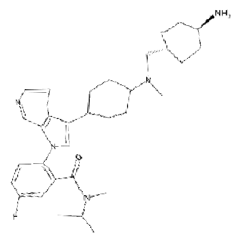 CC(C)N(C)C(=O)c1cc(F)ccc1-n1cc(C2CCC(N(C)C[C@H]3CC[C@H](N)CC3)CC2)c2ccncc21